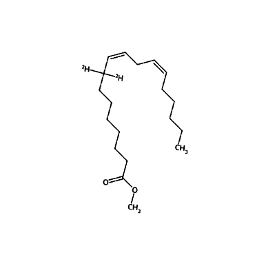 [2H]C([2H])(/C=C\C/C=C\CCCCC)CCCCCCC(=O)OC